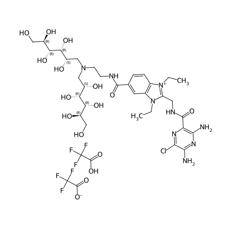 CCn1c(CNC(=O)c2nc(Cl)c(N)nc2N)[n+](CC)c2ccc(C(=O)NCCN(C[C@H](O)[C@@H](O)[C@H](O)[C@H](O)CO)C[C@H](O)[C@@H](O)[C@H](O)[C@H](O)CO)cc21.O=C(O)C(F)(F)F.O=C([O-])C(F)(F)F